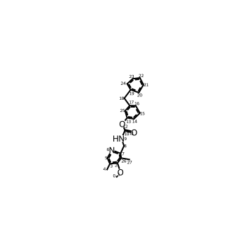 COc1c(C)cnc(CNC(=O)Oc2cccc(Cc3ccccc3)c2)c1C